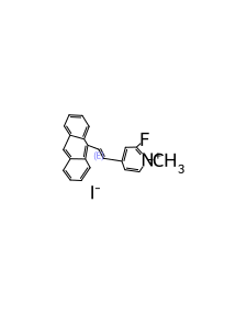 C[n+]1ccc(/C=C/c2c3ccccc3cc3ccccc23)cc1F.[I-]